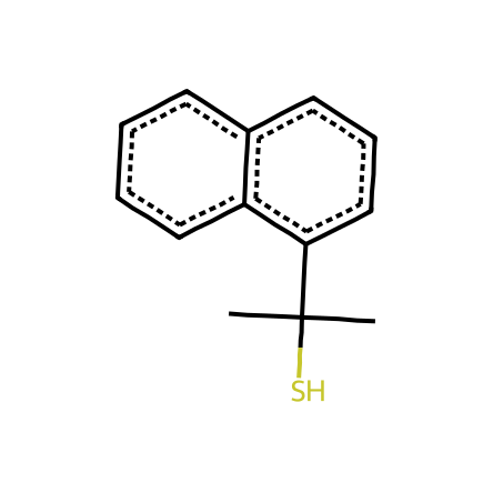 CC(C)(S)c1cccc2ccccc12